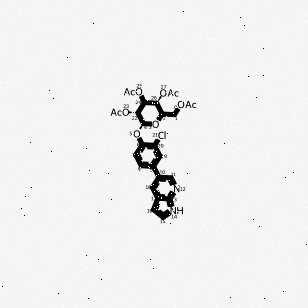 CC(=O)OCC1O[C@H](Oc2ccc(-c3cnc4[nH]ccc4c3)cc2Cl)[C@H](OC(C)=O)C(OC(C)=O)[C@@H]1OC(C)=O